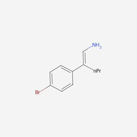 CCCC(=CN)c1ccc(Br)cc1